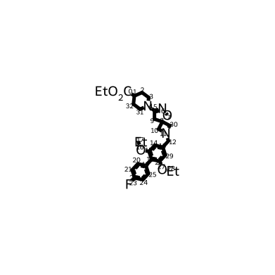 CCOC(=O)C1CCN(C2=NOC3(C2)CN(Cc2cc(OCC)c(-c4ccc(F)cc4)c(OCC)c2)C3)CC1